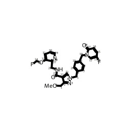 COCc1nn(Cc2ccc(Cn3cc(F)ccc3=O)cc2)cc1C(=O)NCc1ncccc1OCF